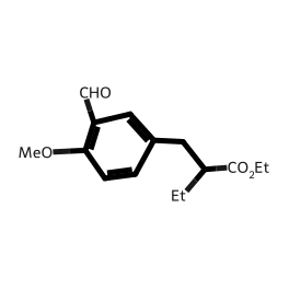 CCOC(=O)C(CC)Cc1ccc(OC)c(C=O)c1